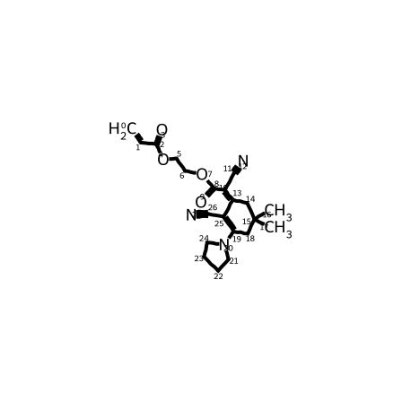 C=CC(=O)OCCOC(=O)/C(C#N)=C1/CC(C)(C)CC(N2CCCC2)=C1C#N